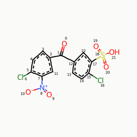 O=C(c1ccc(Cl)c([N+](=O)[O-])c1)c1ccc(Cl)c(S(=O)(=O)O)c1